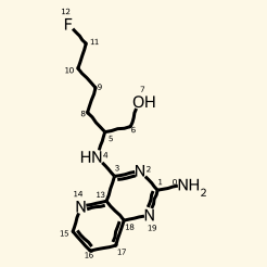 Nc1nc(NC(CO)CCCCF)c2ncccc2n1